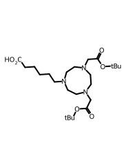 CC(C)(C)OC(=O)CN1CCN(CCCCCC(=O)O)CCN(CC(=O)OC(C)(C)C)CC1